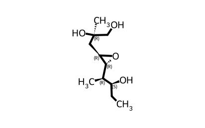 CC[C@H](O)[C@@H](C)[C@H]1O[C@@H]1C[C@@](C)(O)CO